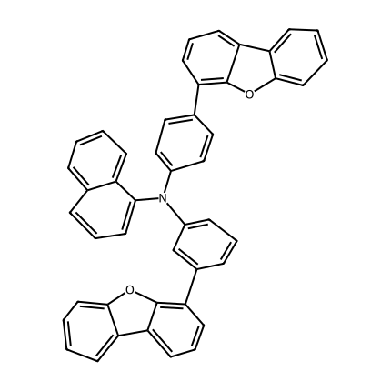 c1cc(-c2cccc3c2oc2ccccc23)cc(N(c2ccc(-c3cccc4c3oc3ccccc34)cc2)c2cccc3ccccc23)c1